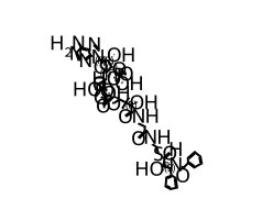 CC(C)(COP(=O)(O)OP(=O)(O)OC[C@H]1O[C@@H](n2cnc3c(N)ncnc32)[C@H](O)[C@@H]1OP(=O)(O)O)[C@@H](O)C(=O)NCCC(=O)NCCSC(=O)[C@H](O)[C@@H](NC(=O)c1ccccc1)c1ccccc1